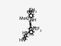 COc1cc(S(C)(=O)=O)ccc1NCC#Cc1cc2c(NC3CC4(CNC4)C3)cccc2n1CC(F)(F)F